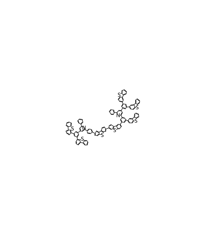 c1ccc(-c2cc(-c3cc(-c4cccc5c4sc4ccccc45)cc(-c4cccc5c4sc4ccccc45)c3)cc(-c3ccc(-c4ccc5sc6cc(-c7ccc8c(c7)sc7ccc(-c9cc(-c%10ccc%11sc%12ccccc%12c%11c%10)cc(-c%10cc(-c%11cc(-c%12ccc%13sc%14ccccc%14c%13c%12)cc(-c%12ccc%13sc%14ccccc%14c%13c%12)c%11)cc(-c%11ccccc%11)n%10)c9)cc78)ccc6c5c4)cc3)n2)cc1